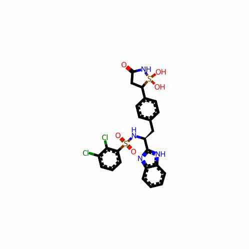 O=C1CC(c2ccc(C[C@H](NS(=O)(=O)c3cccc(Cl)c3Cl)c3nc4ccccc4[nH]3)cc2)S(O)(O)N1